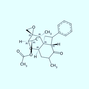 CC(=O)O[C@@H]1C[C@]2(C)[C@@]34CC(c5ccccc5)[C@@H]3C(=O)C(C)C[C@H]4O[C@H]1[C@@]21CO1